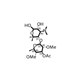 CO[C@H]1[C@H](O[C@H]2[C@H](N(C)C)[C@@H](O)C(O)O[C@@H]2C)O[C@H](C)[C@@H](OC)[C@@H]1OC(C)=O